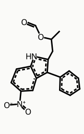 CC(Cc1[nH]c2ccc([N+](=O)[O-])cc2c1-c1ccccc1)OC=O